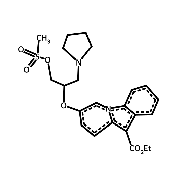 CCOC(=O)c1c2ccccc2n2cc(OC(COS(C)(=O)=O)CN3CCCC3)ccc12